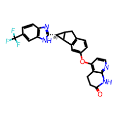 O=C1CCc2c(Oc3ccc4c(c3)C3C(C4)[C@H]3c3nc4ccc(C(F)(F)F)cc4[nH]3)ccnc2N1